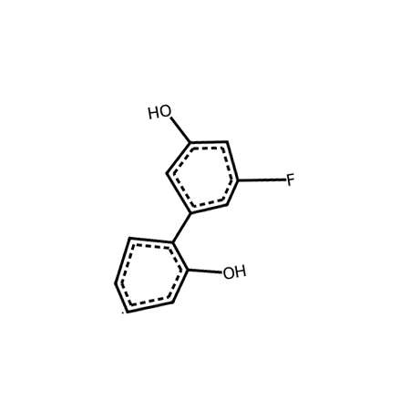 Oc1cc(F)cc(-c2cc[c]cc2O)c1